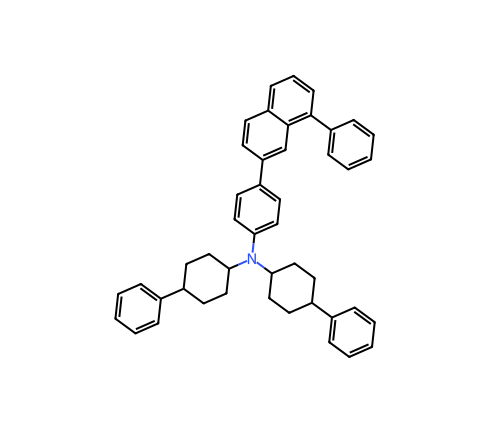 c1ccc(-c2cccc3ccc(-c4ccc(N(C5CCC(c6ccccc6)CC5)C5CCC(c6ccccc6)CC5)cc4)cc23)cc1